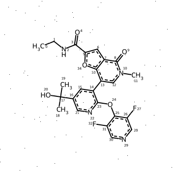 CCNC(=O)c1cc2c(=O)n(C)cc(-c3cc(C(C)(C)O)cnc3Oc3c(F)cncc3F)c2o1